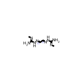 CN=C(N)N/N=C/C=N/NC(N)=NC